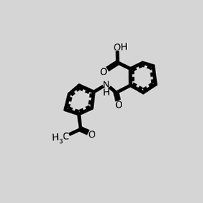 CC(=O)c1cccc(NC(=O)c2ccccc2C(=O)O)c1